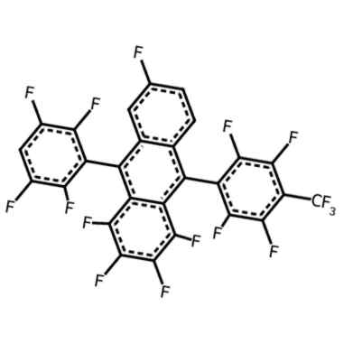 Fc1ccc2c(-c3c(F)c(F)c(C(F)(F)F)c(F)c3F)c3c(F)c(F)c(F)c(F)c3c(-c3c(F)c(F)cc(F)c3F)c2c1